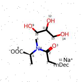 CCCCCCCCCCCC(=O)N(C)[C@@H](C)C(=O)[O-].OCC(O)CO.[Na+]